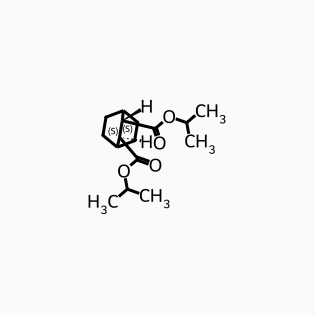 CC(C)OC(=O)[C@H]1C2CCC(CC2)[C@@H]1C(=O)OC(C)C